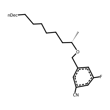 CCCCCCCCCCCCCCCC[C@H](C)OCc1cc(F)cc(C#N)c1